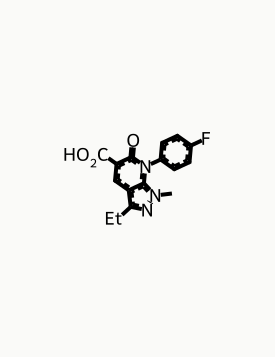 CCc1nn(C)c2c1cc(C(=O)O)c(=O)n2-c1ccc(F)cc1